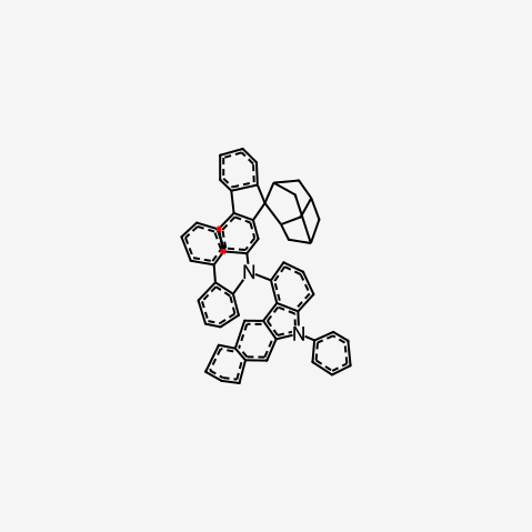 c1ccc(-c2ccccc2N(c2ccc3c(c2)C2(c4ccccc4-3)C3CC4CC(C3)CC2C4)c2cccc3c2c2cc4ccccc4cc2n3-c2ccccc2)cc1